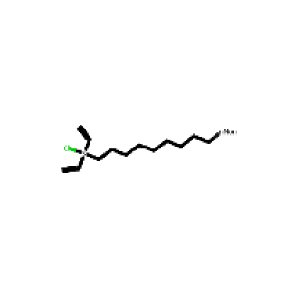 C=C[Si](Cl)(C=C)CCCCCCCCCCCCCCCCCC